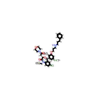 COc1c(OCCCNCCCc2ccccc2)cccc1[C@@H]1O[C@@H](CC(=O)N2CCOCC2)C(=O)N(CC(C)(C)C)c2ccc(Cl)cc21.Cl